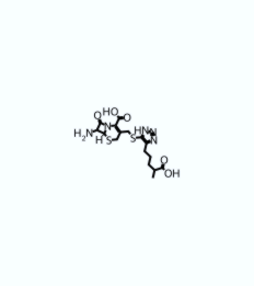 CC(CCCc1nn[nH]c1SCC1=C(C(=O)O)N2C(=O)C(N)[C@@H]2SC1)C(=O)O